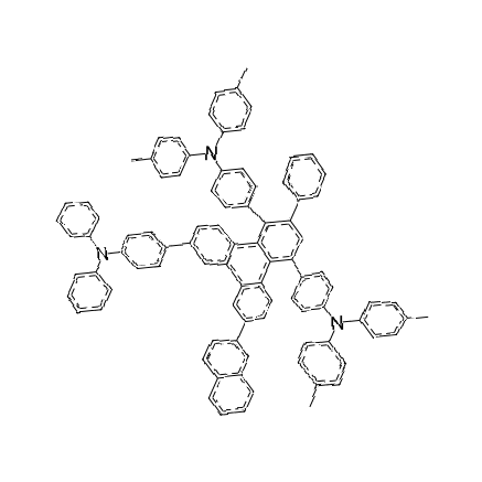 Cc1ccc(N(c2ccc(C)cc2)c2ccc(-c3cc(-c4ccccc4)c(-c4ccc(N(c5ccc(C)cc5)c5ccc(C)cc5)cc4)c4c5ccc(-c6ccc(N(c7ccccc7)c7ccccc7)cc6)cc5c5cc(-c6ccc7ccccc7c6)ccc5c34)cc2)cc1